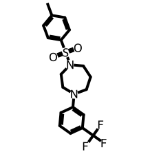 Cc1ccc(S(=O)(=O)N2CCCN(c3cccc(C(F)(F)F)c3)CC2)cc1